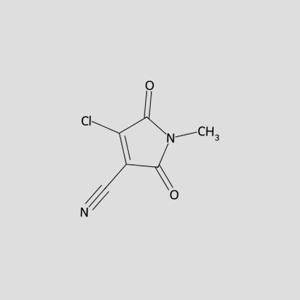 CN1C(=O)C(Cl)=C(C#N)C1=O